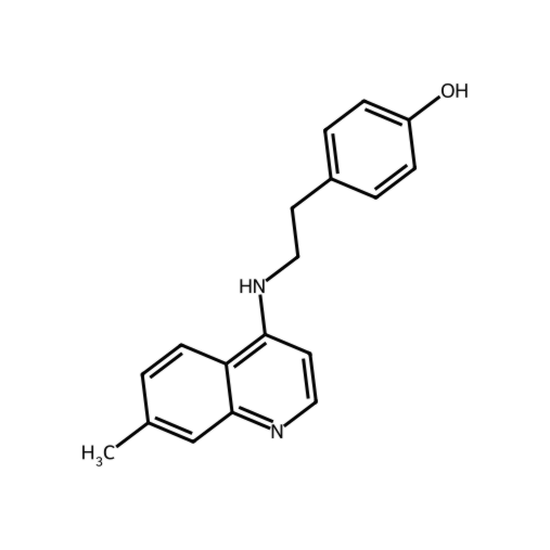 Cc1ccc2c(NCCc3ccc(O)cc3)ccnc2c1